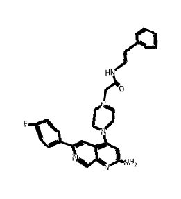 Nc1cc(N2CCN(CC(=O)NCCc3ccccc3)CC2)c2cc(-c3ccc(F)cc3)ncc2n1